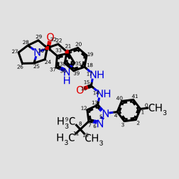 Cc1ccc(-n2nc(C(C)(C)C)cc2NC(=O)Nc2ccc(CC3CC4CCC(C3)N4C(=O)c3cc[nH]c3)cc2)cc1